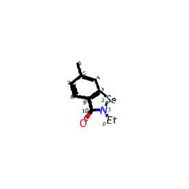 CCn1[se]c2cc(C)ccc2c1=O